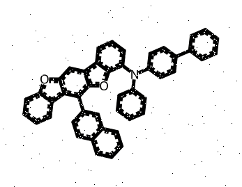 c1ccc(-c2ccc(N(c3ccccc3)c3cccc4c3oc3c(-c5ccc6ccccc6c5)c5c(cc34)oc3ccccc35)cc2)cc1